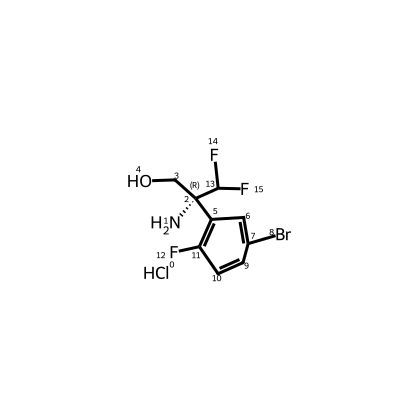 Cl.N[C@@](CO)(c1cc(Br)ccc1F)C(F)F